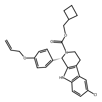 C=CCOc1ccc([C@H]2c3[nH]c4ccc(Cl)cc4c3CCN2C(=O)OCC2CCC2)cc1